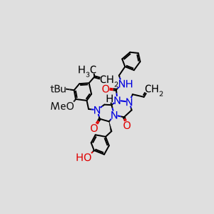 C=CCN1CC(=O)N2[C@@H](Cc3ccc(O)cc3)C(=O)N(Cc3cc(C(=C)C)cc(C(C)(C)C)c3OC)C[C@@H]2N1C(=O)NCc1ccccc1